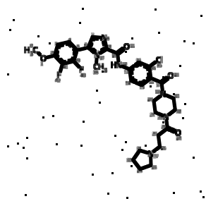 COc1ccc(-c2cnc(C(=O)Nc3ccc(C(=O)N4CCN(C(=O)CCN5CCCC5)CC4)c(Cl)c3)n2C)c(F)c1F